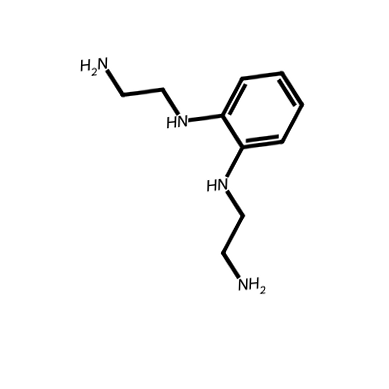 NCCNc1ccccc1NCCN